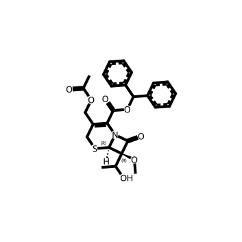 CO[C@]1(C(C)O)C(=O)N2C(C(=O)OC(c3ccccc3)c3ccccc3)=C(COC(C)=O)CS[C@@H]21